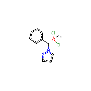 ClOCl.[Se].c1ccc(Cn2cccn2)cc1